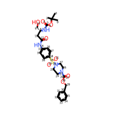 CC(C)(C)OC(=O)N[C@@H](CO)CC(=O)Nc1ccc(S(=O)(=O)N2CCN(C(=O)OCc3ccccc3)CC2)cc1